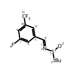 CC(C)(C)[S+]([O-])/N=C/c1cc(F)cc(C(F)(F)F)c1